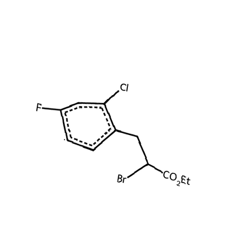 CCOC(=O)C(Br)Cc1c[c]c(F)cc1Cl